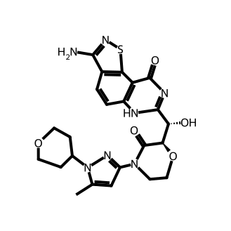 Cc1cc(N2CCO[C@H]([C@@H](O)c3nc(=O)c4c(ccc5c(N)nsc54)[nH]3)C2=O)nn1C1CCOCC1